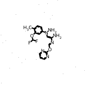 Cc1ccc(N(N)/C=C(\N)N=COc2ncccn2)cc1OC(F)F